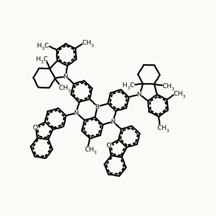 Cc1cc2c3c(c1)N(c1cccc4c1oc1ccccc14)c1cc(N4c5cc(C)cc(C)c5C5(C)CCCCC45C)ccc1B3c1ccc(N3c4cc(C)cc(C)c4C4(C)CCCCC34C)cc1N2c1ccc2oc3ccccc3c2c1